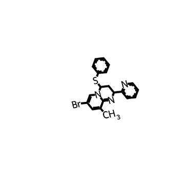 CC1=CC(Br)=CN2C1=NC(c1ccccn1)CC2Sc1ccccc1